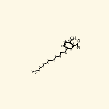 CCCCCCCCCCCCc1ccc(C)c(C(Cl)Cl)c1